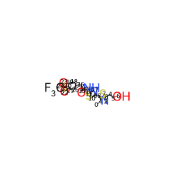 Cc1nc(CCO)sc1-c1csc(NC(=O)Cc2ccc(S(=O)(=O)C(F)(F)F)cc2)n1